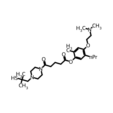 CCCc1cc(OC(=O)CCCC(=O)N2CCN(CC(C)(C)S)CC2)c(C)cc1OCCN(C)C